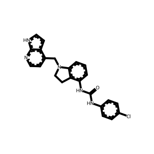 O=C(Nc1ccc(Cl)cc1)Nc1cccc2c1CCN2Cc1ccnc2[nH]ccc12